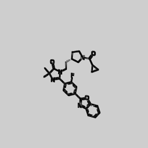 CC1(C)N=C(c2ccc(-c3nc4ccccc4o3)cc2F)N(CC[C@@H]2CCN(C(=O)C3CC3)C2)C1=O